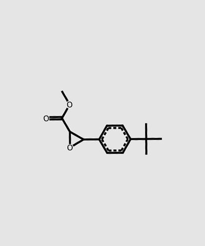 COC(=O)C1OC1c1ccc(C(C)(C)C)cc1